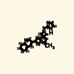 C[C@@H]1CC2(CN(Cc3ncc[nH]3)C2)c2cc(-c3cnc4ccccc4c3)nn21